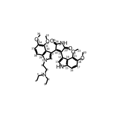 CCN(CC)CCn1cc(C2=C(c3c[nH]c4ccc(OC)c(OC)c34)C(=O)NC2=O)c2c(OC)c(OC)ccc21